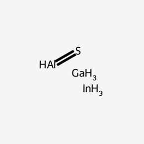 [AlH]=[S].[GaH3].[InH3]